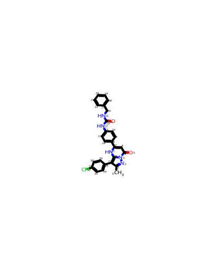 Cc1nn2c(=O)cc(-c3ccc(NC(=O)NCc4ccccc4)cc3)[nH]c2c1-c1ccc(Cl)cc1